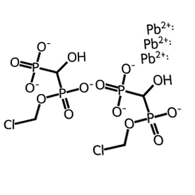 O=P([O-])([O-])C(O)P(=O)([O-])OCCl.O=P([O-])([O-])C(O)P(=O)([O-])OCCl.[Pb+2].[Pb+2].[Pb+2]